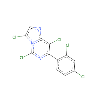 Clc1ccc(-c2nc(Cl)n3c(Cl)cnc3c2Cl)c(Cl)c1